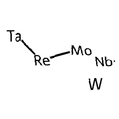 [Mo][Re][Ta].[Nb].[W]